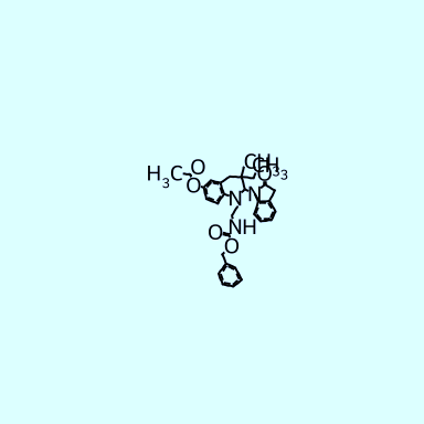 CCC1(CC)Cc2cc(OC(C)=O)ccc2N(CCNC(=O)OCc2ccccc2)C1N1C(=O)Cc2ccccc21